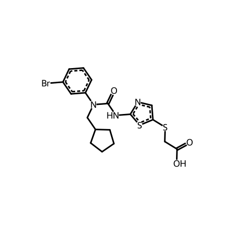 O=C(O)CSc1cnc(NC(=O)N(CC2CCCC2)c2cccc(Br)c2)s1